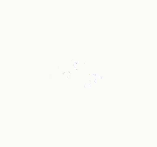 Cc1cc(C(CCCc2c(N)nc(N)[nH]c2=O)C(=NN(C)C)C(F)(F)F)ccc1C(=O)O